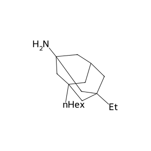 CCCCCCC12CC3CC(N)(CC(CC)(C3)C1)C2